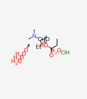 C=O.CCC(=O)O.CN(C)C=O.C[CH2][Cu][CH3].Cl.O.O.O.O